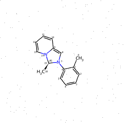 Cc1ccccc1N1C=C2C=CC=CN2[C@@H]1C